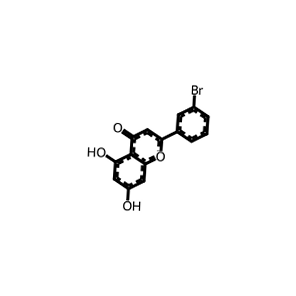 O=c1cc(-c2cccc(Br)c2)oc2cc(O)cc(O)c12